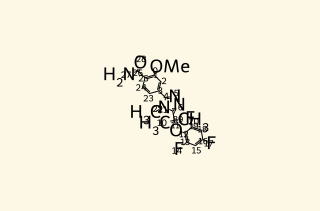 COc1cc(-c2nnc(C(C)(C)Oc3c(F)cc(F)cc3F)n2C)ccc1C(N)=O